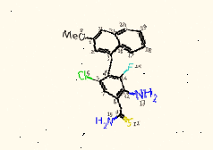 COc1cc(-c2c(Cl)cc(C(N)=S)c(N)c2F)c2ccccc2c1